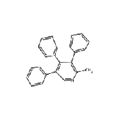 [CH2]c1ncc(-c2ccccc2)c(-c2ccccc2)c1-c1ccccc1